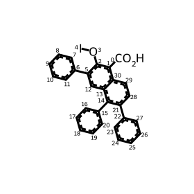 O=C(O)c1c(OI)c(-c2ccccc2)cc2c(-c3ccccc3)c(-c3ccccc3)ccc12